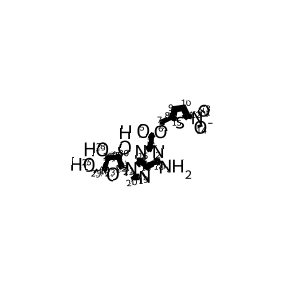 Nc1nc(C(=O)OCc2ccc([N+](=O)[O-])s2)nc2c1ncn2[C@@H]1O[C@H](CO)[C@@H](O)[C@@H]1O